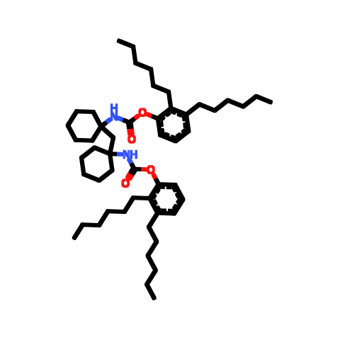 CCCCCCc1cccc(OC(=O)NC2(CC3(NC(=O)Oc4cccc(CCCCCC)c4CCCCCC)CCCCC3)CCCCC2)c1CCCCCC